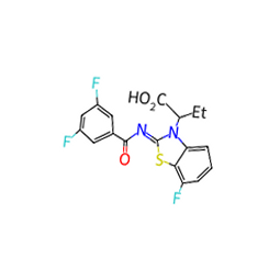 CCC(C(=O)O)n1c(=NC(=O)c2cc(F)cc(F)c2)sc2c(F)cccc21